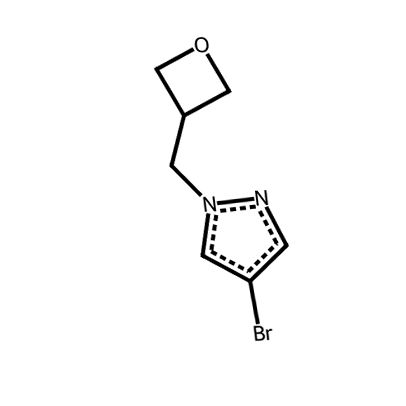 Brc1cnn(CC2COC2)c1